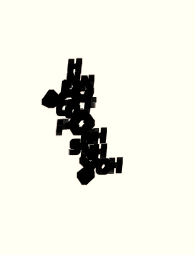 OCC1(CNC(=S)Nc2cc(F)c(Oc3ccnc4[nH]cc(C5(C(F)(F)F)CCC5)c34)c(F)c2)CCC1